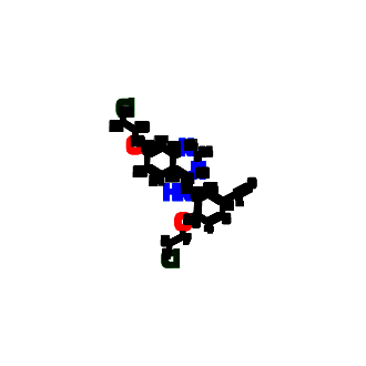 C#Cc1ccc(OCCCl)c(Nc2ncnc3cc(OCCCl)ccc23)c1